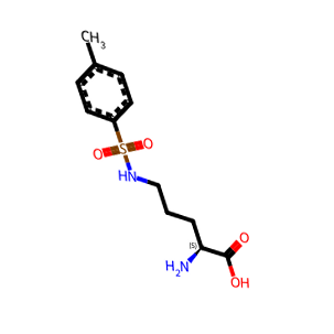 Cc1ccc(S(=O)(=O)NCCC[C@H](N)C(=O)O)cc1